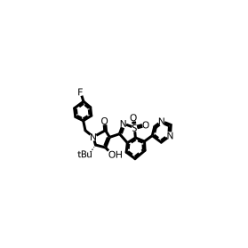 CC(C)(C)[C@H]1C(O)=C(C2=NS(=O)(=O)c3c2cccc3-c2cncnc2)C(=O)N1Cc1ccc(F)cc1